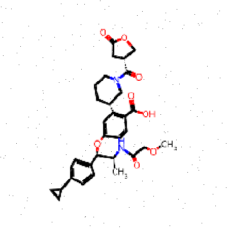 COCC(=O)N[C@@H](C)[C@H](Oc1ccc(C(=O)O)c([C@@H]2CCCN(C(=O)[C@H]3COC(=O)C3)C2)c1)c1ccc(C2CC2)cc1